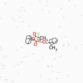 CC1C2CC3CC(C2)CC1(COCOC(=O)CC12CC4CC(C1)C(OC(=O)C(C)(F)F)C(C4)C2)C3